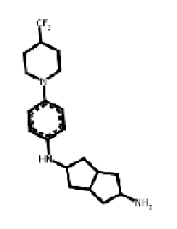 NC1CC2CC(Nc3ccc(N4CCC(C(F)(F)F)CC4)cc3)CC2C1